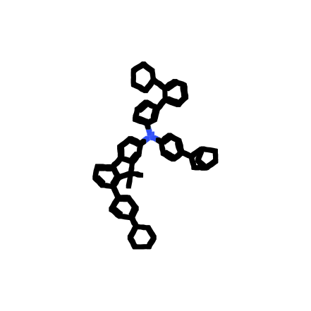 CC1(C)c2cc(N(c3ccc(C4CC5CCC4C5)cc3)c3cccc(-c4ccccc4C4CCCCC4)c3)ccc2-c2cccc(-c3ccc(C4CCCCC4)cc3)c21